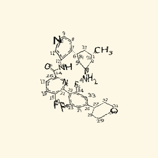 C[C@@H]1C[C@@H](N)C[C@H](c2ccncc2NC(=O)c2ccc(F)c(-c3c(F)cc(C4CCOCC4)cc3F)n2)C1